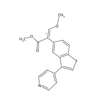 CO/C=C(/C(=O)OC)c1ccc2scc(-c3ccncc3)c2c1